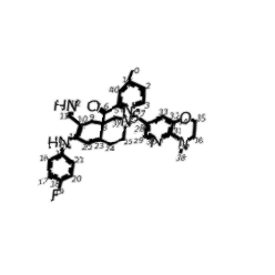 Cc1ccnc(C(=O)C23CC(C=N)=C(Nc4ccc(F)cc4)C=C2CCN(Sc2cnc4c(c2)OCCN4C)C3)c1